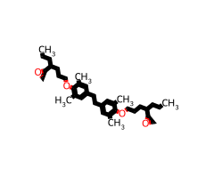 CCCC(CCCOc1c(C)cc(CCc2cc(C)c(OCCCC(CCC)C3CO3)c(C)c2)cc1C)C1CO1